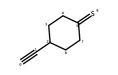 C#CC1CCC(=S)CC1